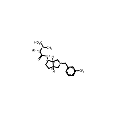 CC(C)[C@@H](C(=O)N[C@@H]1CC[C@H]2CN(Cc3cccc(C(F)(F)F)c3)C[C@H]21)N(C)C(=O)O